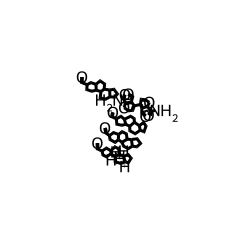 NC(=O)C1=C(C=O)C(C2=C(C=O)C(C(N)=O)OC=C2)=CCO1.O=CC1CCC2C(CCC3C4CCCC4CCC23)C1.O=CC1CCC2C(CCC3C4CCCC4CCC23)C1.O=CC1CCC2C(CCC3C4CCCC4CCC23)C1.O=CC1CC[C@H]2C(CC[C@H]3[C@@H]4CCC[C@H]4CC[C@@H]32)C1